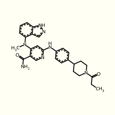 CCC(=O)N1CCC(c2ccc(Nc3cc(N(C)c4cccc5[nH]ncc45)c(C(N)=O)cn3)cc2)CC1